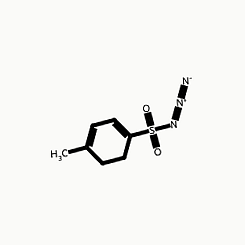 CC1=CC=C(S(=O)(=O)N=[N+]=[N-])CC1